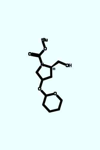 CC(C)(C)OC(=O)N1CC(OC2CCCCO2)C[C@@H]1CO